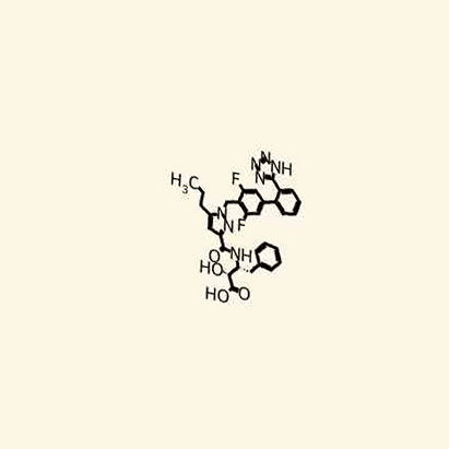 CCCc1cc(C(=O)N[C@H](Cc2ccccc2)[C@@H](O)C(=O)O)nn1Cc1c(F)cc(-c2ccccc2-c2nnn[nH]2)cc1F